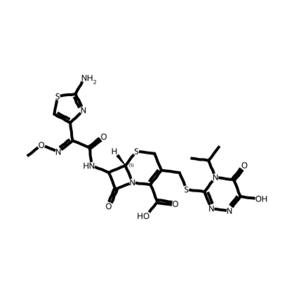 CON=C(C(=O)NC1C(=O)N2C(C(=O)O)=C(CSc3nnc(O)c(=O)n3C(C)C)CS[C@@H]12)c1csc(N)n1